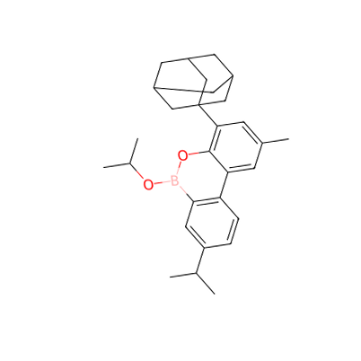 Cc1cc2c(c(C34CC5CC(CC(C5)C3)C4)c1)OB(OC(C)C)c1cc(C(C)C)ccc1-2